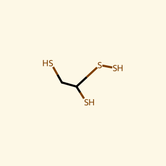 SCC(S)SS